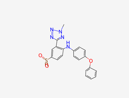 Cn1nnc(-c2cc([SH](=O)=O)ccc2Nc2ccc(Oc3ccccc3)cc2)n1